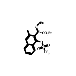 CCOC(=O)[C@@H](OC(C)(C)C)c1c(C)cc2ccccc2c1OS(=O)(=O)C(F)(F)F